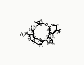 Nc1nn2ccc3nc2c1C(=O)NC1(CC1)COc1ncc(F)cc1[C@@]12C[C@@H]1CCN32